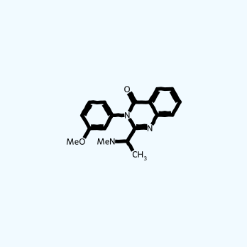 CNC(C)c1nc2ccccc2c(=O)n1-c1cccc(OC)c1